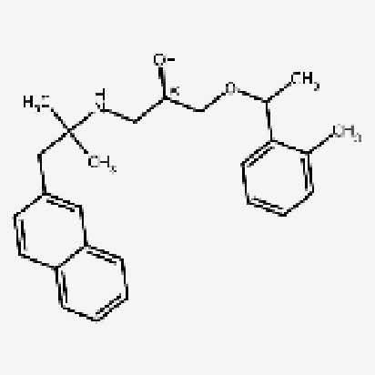 Cc1ccccc1C(C)OC[C@H](O)CNC(C)(C)Cc1ccc2ccccc2c1